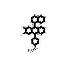 Fc1cc2c(-c3ccc(OC(F)(F)F)cc3)c3ccccc3c(-c3cccc4ccccc34)c2cc1F